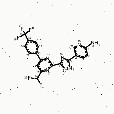 Nc1ccc(-c2noc(-c3nc(-c4ccc(C(F)(F)F)cc4)cc(C(F)F)n3)n2)cn1